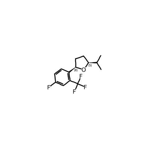 CC(C)[C@@H]1CC[C@H](c2ccc(F)cc2C(F)(F)F)O1